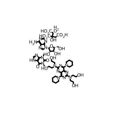 Cn1c(=O)c2[nH]cnc2n(C)c1=O.Nc1ncnc2c1ncn2[C@@H]1O[C@H](CO)[C@@H](O)[C@H]1O.O.O=C(O)CC(O)(CC(=O)O)C(=O)O.OCCN(CCO)c1nc(N2CCCCC2)c2nc(N(CCO)CCO)nc(N3CCCCC3)c2n1